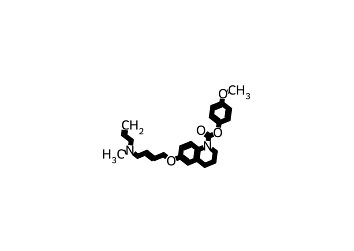 C=CCN(C)CC=CCOc1ccc2c(c1)CCCN2C(=O)Oc1ccc(OC)cc1